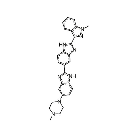 CN1CCN(c2ccc3[nH]c(-c4ccc5[nH]c(-c6nn(C)c7ccccc67)nc5c4)nc3c2)CC1